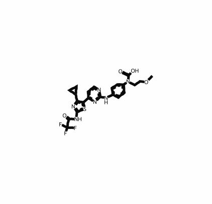 COCCN(C(=O)O)c1ccc(Nc2nccc(-c3sc(NC(=O)C(F)(F)F)nc3C3CC3)n2)cc1